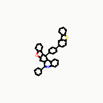 c1ccc(-c2nc3ccccc3c3c(-c4ccc(-c5ccc6sc7ccccc7c6c5)cc4)c4c(cc23)oc2ccccc24)cc1